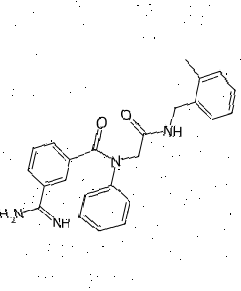 Cc1ccccc1CNC(=O)CN(C(=O)c1cccc(C(=N)N)c1)c1ccccc1